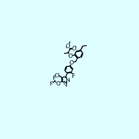 CCc1ccc(COc2ccc(-c3nn(C)c(OC(F)F)c3Cl)c(F)c2)c(OC(C)C(=O)OC)c1